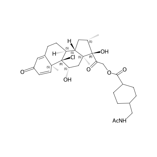 CC(=O)NCC1CCC(C(=O)OCC(=O)[C@@]2(O)[C@@H](C)C[C@H]3[C@@H]4CCC5=CC(=O)C=C[C@]5(C)[C@@]4(Cl)[C@@H](O)C[C@@]32C)CC1